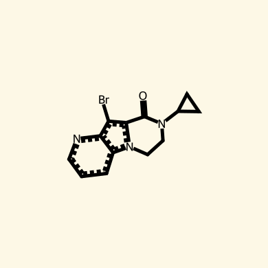 O=C1c2c(Br)c3ncccc3n2CCN1C1CC1